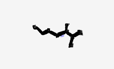 CCN(CC)/[N+]([O-])=N/OCCl